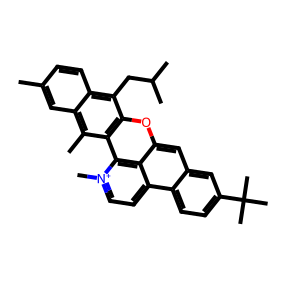 Cc1ccc2c(CC(C)C)c3c(c(C)c2c1)-c1c2c(cc4cc(C(C)(C)C)ccc4c2cc[n+]1C)O3